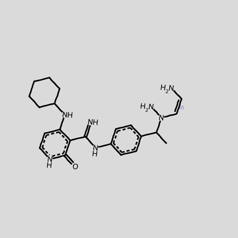 CC(c1ccc(NC(=N)c2c(NC3CCCCC3)cc[nH]c2=O)cc1)N(N)/C=C\N